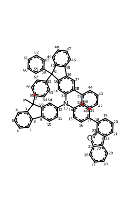 CC1(C)c2ccccc2-c2ccc(N(c3ccc(-c4cccc5c4oc4ccccc45)cc3)c3cc4c(cc3-c3ccccc3)-c3ccccc3C4(c3ccccc3)c3ccccc3)cc21